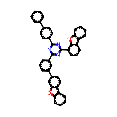 c1ccc(-c2ccc(-c3nc(-c4cccc(-c5ccc6c(c5)oc5ccccc56)c4)nc(-c4cccc5c4oc4ccccc45)n3)cc2)cc1